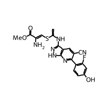 C=C(Nc1n[nH]c2nc(-c3ccc(O)cc3F)c(C#N)cc12)S/C=C(\N)C(=O)OC